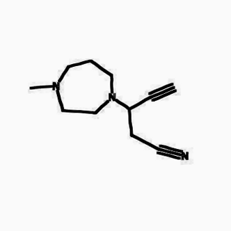 C#CC(CC#N)N1CCCN(C)CC1